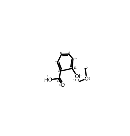 COC.O=C(O)c1ccccc1O